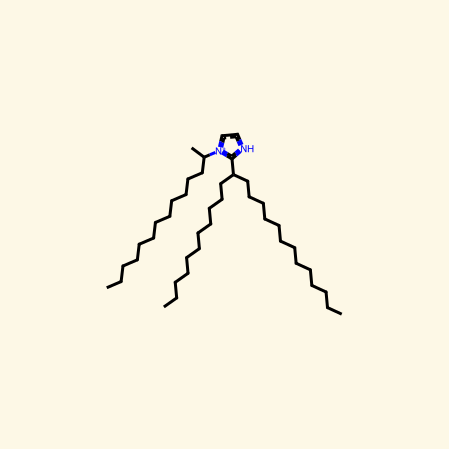 CCCCCCCCCCCCCC(CCCCCCCCCCC)c1[nH]cc[n+]1C(C)CCCCCCCCCCCC